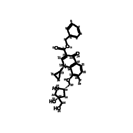 O=C(OCc1ccccc1)c1cn(C2CC2)c2c(OC[C@@H]3C[C@@](O)(CO)CN3)c(F)ccc2c1=O